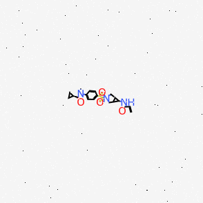 C=CC(=O)NC1C2CN(S(=O)(=O)c3ccc(N(C)C(=O)C4CC4)cc3)CC21